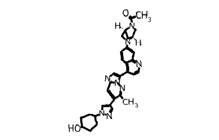 CC(=O)N1C[C@@H]2C[C@H]1CN2c1ccc2c(-c3cnc4cc(-c5cnn(C6CCC(O)CC6)c5)c(C)nn34)ccnc2c1